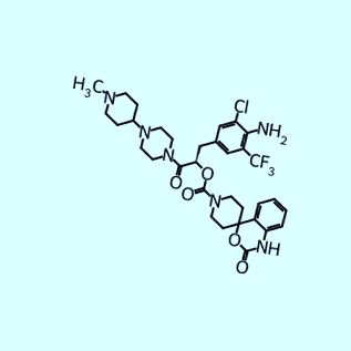 CN1CCC(N2CCN(C(=O)[C@@H](Cc3cc(Cl)c(N)c(C(F)(F)F)c3)OC(=O)N3CCC4(CC3)OC(=O)Nc3ccccc34)CC2)CC1